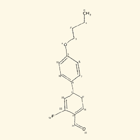 CCCCOc1ccc(C2C=C(F)C(C=O)=CC2)cc1